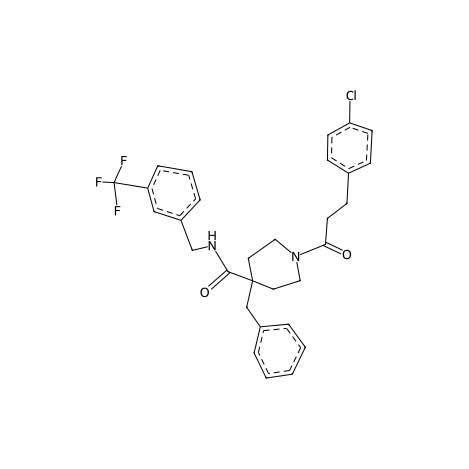 O=C(CCc1ccc(Cl)cc1)N1CCC(Cc2ccccc2)(C(=O)NCc2cccc(C(F)(F)F)c2)CC1